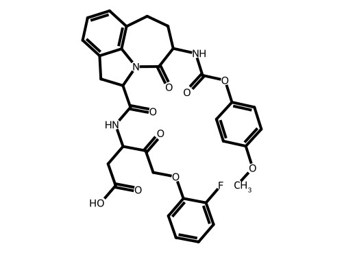 COc1ccc(OC(=O)NC2CCc3cccc4c3N(C2=O)C(C(=O)NC(CC(=O)O)C(=O)COc2ccccc2F)C4)cc1